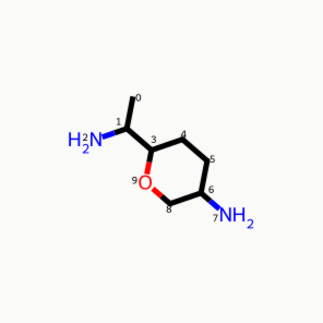 CC(N)C1CCC(N)CO1